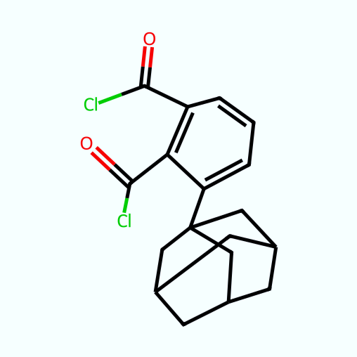 O=C(Cl)c1cccc(C23CC4CC(CC(C4)C2)C3)c1C(=O)Cl